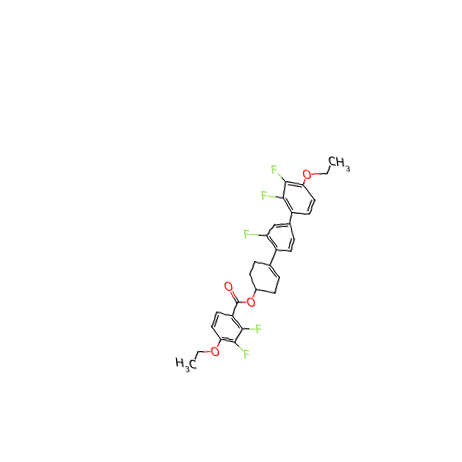 CCOc1ccc(C(=O)OC2CC=C(c3ccc(-c4ccc(OCC)c(F)c4F)cc3F)CC2)c(F)c1F